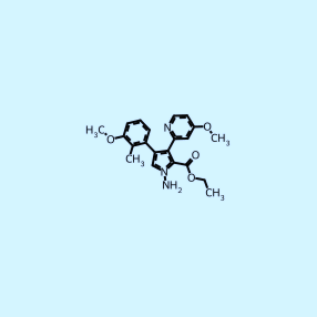 CCOC(=O)c1c(-c2cc(OC)ccn2)c(-c2cccc(OC)c2C)cn1N